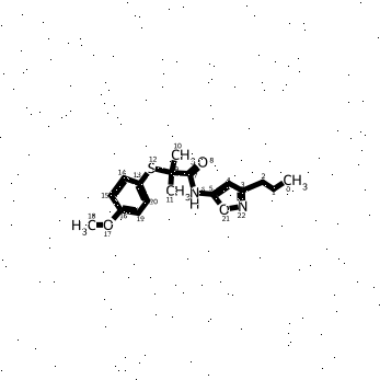 CCCc1cc(NC(=O)C(C)(C)Sc2ccc(OC)cc2)on1